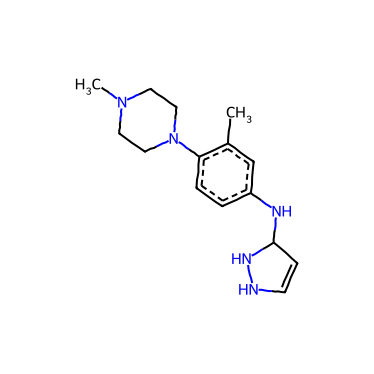 Cc1cc(NC2C=CNN2)ccc1N1CCN(C)CC1